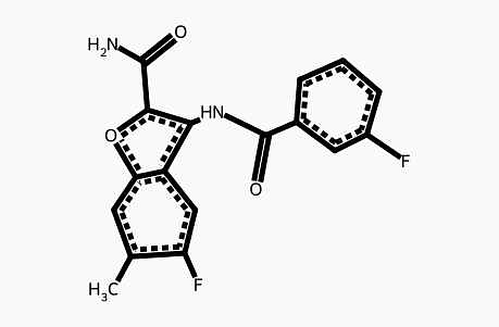 Cc1cc2oc(C(N)=O)c(NC(=O)c3cccc(F)c3)c2cc1F